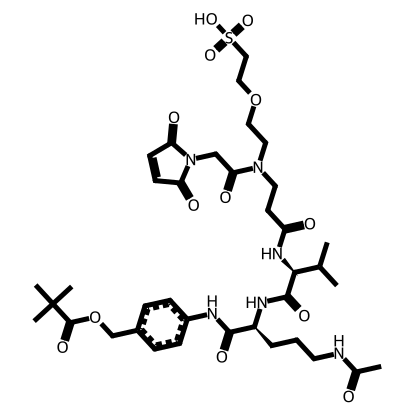 CC(=O)NCCC[C@H](NC(=O)[C@@H](NC(=O)CCN(CCOCCS(=O)(=O)O)C(=O)CN1C(=O)C=CC1=O)C(C)C)C(=O)Nc1ccc(COC(=O)C(C)(C)C)cc1